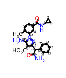 Cc1ccc(C(=O)NC2CC2)cc1-n1nc(C(C(N)=O)c2ccccc2)c(C(=O)O)c1N